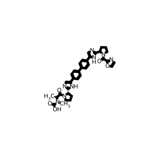 C[C@@H](C(=O)N1CCC[C@H]1c1ncc(-c2ccc(-c3ccc(-c4cnc(C5CCCN5C(=O)c5ncco5)[nH]4)cc3)cc2)[nH]1)N(C)C(=O)O